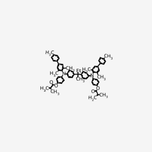 C=C(C)C(=O)Oc1ccc(N(c2ccc(C(C)(CC)c3ccc(N(c4ccc(OC(=O)C(=C)C)cc4)c4c(C)cc(-c5ccc(C)cc5)cc4C)cc3)cc2)c2c(C)cc(-c3ccc(C)cc3)cc2C)cc1